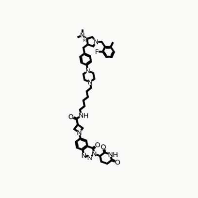 Cc1cccc(F)c1CN1CC(Cc2ccc(N3CCN(CCCCCCNC(=O)C4CN(c5ccc6nnn(C7CCC(=O)NC7=O)c(=O)c6c5)C4)CC3)cc2)[C@@H](N(C)C)C1